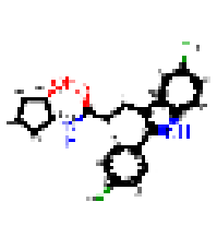 O=C(CCc1c(-c2ccc(F)cc2)[nH]c2ccc(F)cc12)N[C@@H]1CCC[C@H]1O